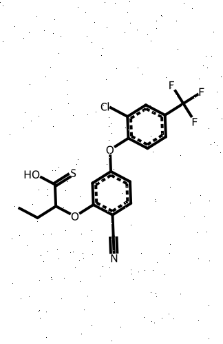 CCC(Oc1cc(Oc2ccc(C(F)(F)F)cc2Cl)ccc1C#N)C(O)=S